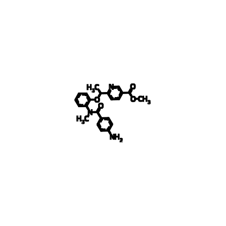 COC(=O)c1ccc(C(C)Oc2ccccc2N(C)C(=O)c2ccc(N)cc2)nc1